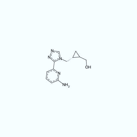 Nc1cccc(-c2nncn2C[C@@H]2CC2CO)n1